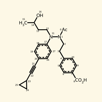 CC(=O)N(CCc1ccc(C(=O)O)cc1)N(CCC(C)O)c1ccc(C#CC2CC2)cc1